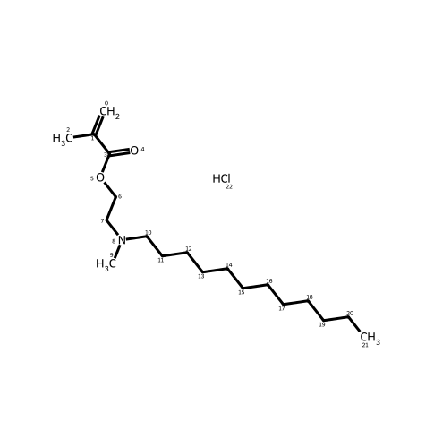 C=C(C)C(=O)OCCN(C)CCCCCCCCCCCC.Cl